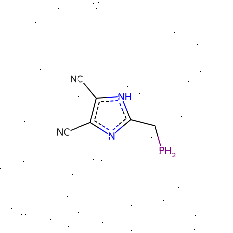 N#Cc1nc(CP)[nH]c1C#N